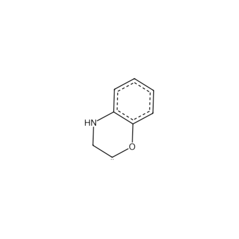 [C]1CNc2ccccc2O1